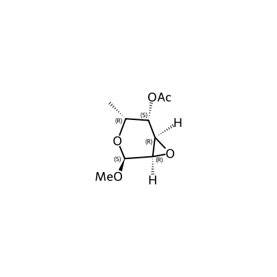 CO[C@H]1O[C@H](C)[C@H](OC(C)=O)[C@H]2O[C@@H]12